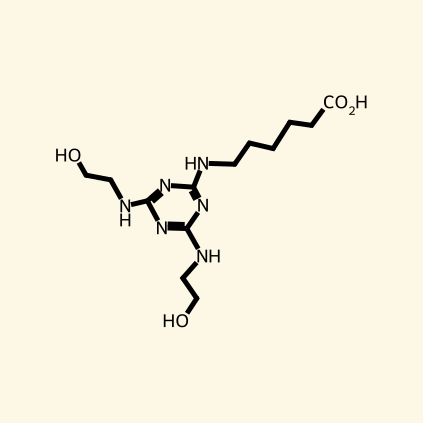 O=C(O)CCCCCNc1nc(NCCO)nc(NCCO)n1